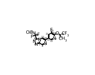 CC(C)COC(F)(F)c1nnc2cnc(-c3cnc(O[C@@H](C)C(F)(F)F)c(F)c3)cn12